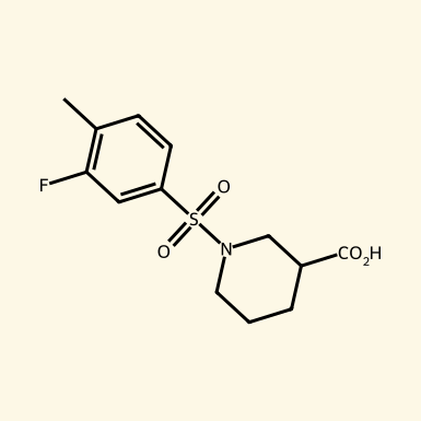 Cc1ccc(S(=O)(=O)N2CCCC(C(=O)O)C2)cc1F